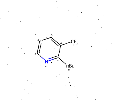 CCCCc1ncccc1C(F)(F)F